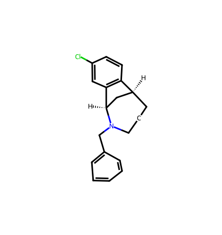 Clc1ccc2c(c1)[C@H]1C[C@@H]2CCCN1Cc1ccccc1